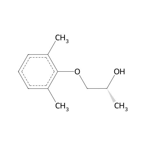 Cc1cccc(C)c1OC[C@@H](C)O